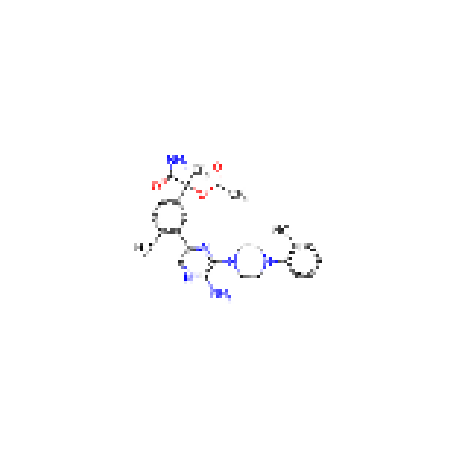 Cc1ccc(C(OC(=O)C(F)(F)F)(C(N)=O)C(F)(F)F)cc1-c1cnc(N)c(N2CCN(c3ccccc3C#N)CC2)n1